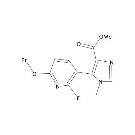 CCOc1ccc(-c2c(C(=O)OC)ncn2C)c(F)n1